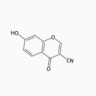 N#Cc1coc2cc(O)ccc2c1=O